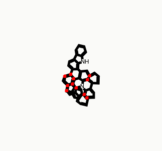 c1ccc(-c2ccccc2N(c2ccccc2-c2ccccc2)c2cccc(-c3c(-c4ccccc4)ccc4c3[nH]c3ccccc34)c2-c2cccc3sc4ccccc4c23)cc1